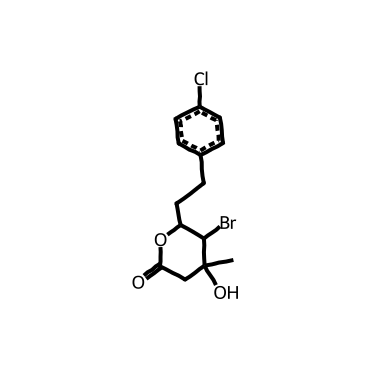 CC1(O)CC(=O)OC(CCc2ccc(Cl)cc2)C1Br